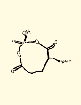 CC(=O)N[C@H]1CCC(=O)OP(=O)(O)OC1=O